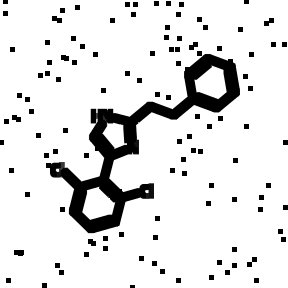 Clc1cccc(Cl)c1-c1c[nH]c(CCc2ccccc2)n1